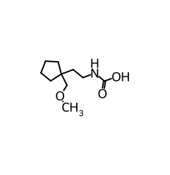 COCC1(CCNC(=O)O)CCCC1